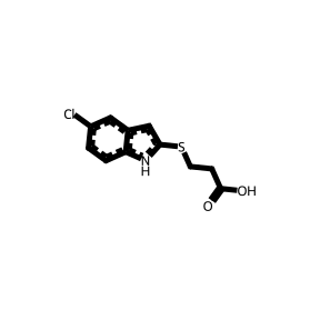 O=C(O)CCSc1cc2cc(Cl)ccc2[nH]1